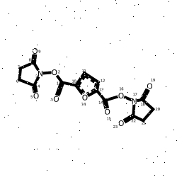 O=C(ON1C(=O)CCC1=O)c1ccc(C(=O)ON2C(=O)CCC2=O)o1